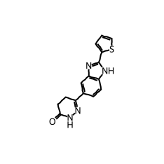 O=C1CCC(c2ccc3[nH]c(-c4cccs4)nc3c2)=NN1